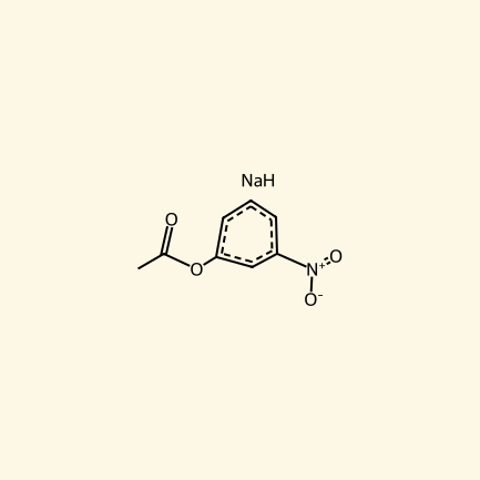 CC(=O)Oc1cccc([N+](=O)[O-])c1.[NaH]